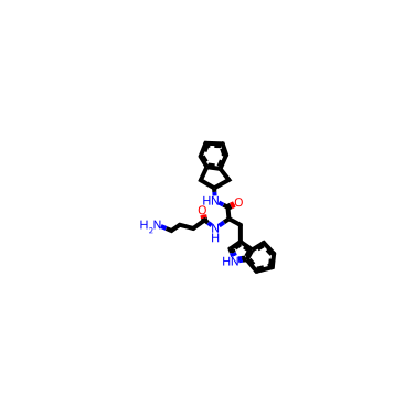 NCCCC(=O)NC(Cc1c[nH]c2ccccc12)C(=O)NC1Cc2ccccc2C1